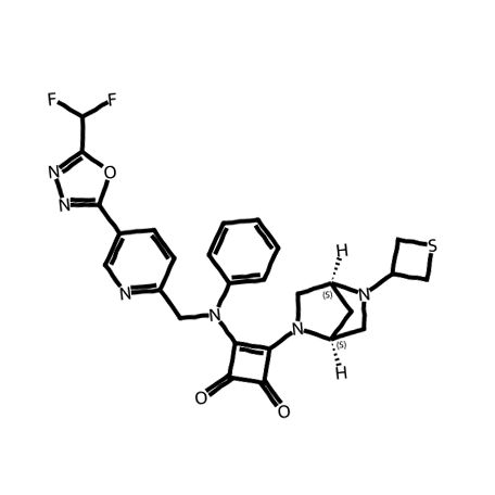 O=c1c(N(Cc2ccc(-c3nnc(C(F)F)o3)cn2)c2ccccc2)c(N2C[C@@H]3C[C@H]2CN3C2CSC2)c1=O